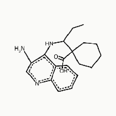 CCC(Nc1c(N)cnc2ccccc12)C1(C(=O)O)CCCCC1